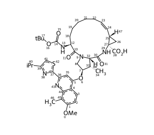 COc1ccc2c(O[C@H]3CN4C(=O)[C@@H](NC(=O)OC(C)(C)C)CCCCC/C=C\[C@@H]5C[C@@]5(C(=O)O)NC(=O)[C@@H]4[C@@H]3C)cc(-c3nc(C(C)C)cs3)nc2c1C